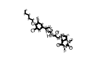 CCCCCOc1c(F)cc(-c2csc(NC(=O)Cn3ncc4c3c(=O)n(C)c(=O)n4C)n2)cc1Cl